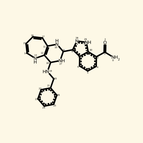 NC(=O)c1cccc2c(C3NC4=C(NC=CC=C4)C(NCc4ccccc4)N3)n[nH]c12